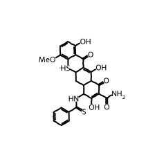 COc1ccc(O)c2c1[SH]C1CC3C(NC(=S)c4ccccc4)C(O)=C(C(N)=O)C(=O)C3C(O)=C1C2=O